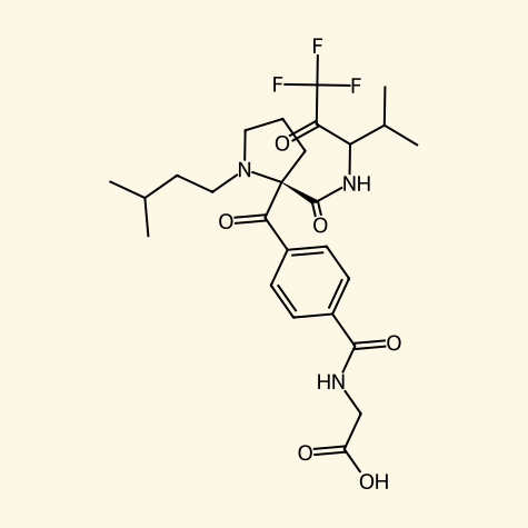 CC(C)CCN1CCC[C@]1(C(=O)NC(C(=O)C(F)(F)F)C(C)C)C(=O)c1ccc(C(=O)NCC(=O)O)cc1